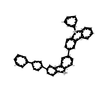 c1ccc(-c2ccc(-c3ccc4[nH]c5ccc(-c6ccc7c(c6)c6ccccc6n7-c6ccccc6)cc5c4c3)cc2)cc1